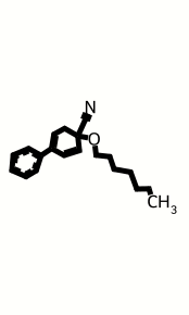 CCCCCCCOC1(C#N)C=CC(c2ccccc2)=CC1